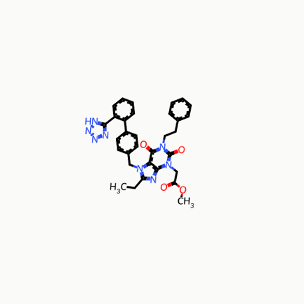 CCc1nc2c(c(=O)n(CCc3ccccc3)c(=O)n2CC(=O)OC)n1Cc1ccc(-c2ccccc2-c2nnn[nH]2)cc1